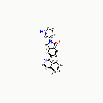 O=C1c2ccc(-c3nccc4c(F)cccc34)cc2CN1C1CCCNC1